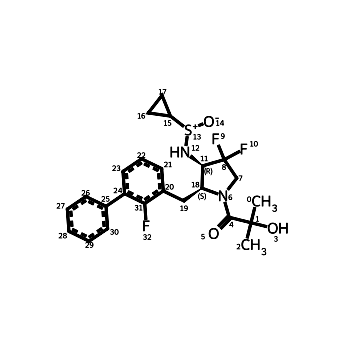 CC(C)(O)C(=O)N1CC(F)(F)[C@H](N[S+]([O-])C2CC2)[C@@H]1Cc1cccc(-c2ccccc2)c1F